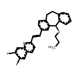 O=C(O)CCSC1c2ccccc2CCc2ccc(C=Cc3ccc4cc(F)c(F)cc4n3)cc21